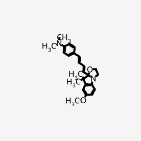 COc1ccc2c(c1)C(C)(C)C1(C=CC=Cc3ccc(N(C)C)cc3)OCCN21